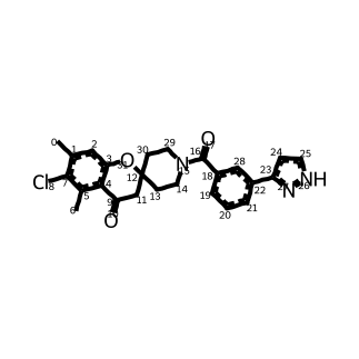 Cc1cc2c(c(C)c1Cl)C(=O)CC1(CCN(C(=O)c3cccc(-c4cc[nH]n4)c3)CC1)O2